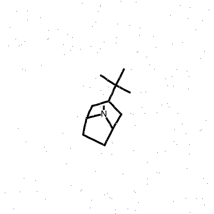 CN1C2CCC1CC(C(C)(C)C)C2